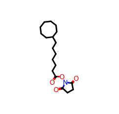 O=C(CCCCCCC1CCCCCCC1)ON1C(=O)CCC1=O